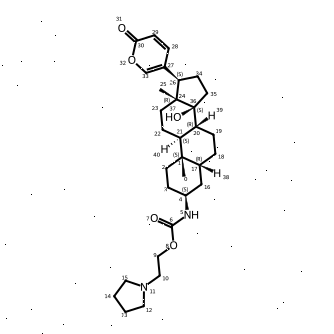 C[C@]12CC[C@H](NC(=O)OCCN3CCCC3)C[C@H]1CC[C@@H]1[C@@H]2CC[C@]2(C)[C@@H](c3ccc(=O)oc3)CC[C@]12O